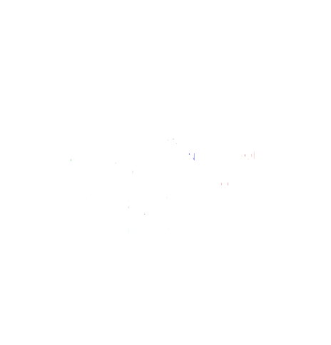 O=C(O)Cn1ccc(-c2cc(Cl)ccc2C(F)(F)F)cc1=O